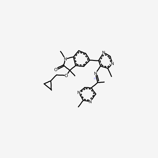 C/C(=N\c1c(C)ncnc1-c1ccc2c(c1)C(C)(OCC1CC1)C(=O)N2C)c1cnc(C)nc1